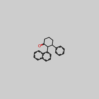 O=C1CCCC(c2ccccc2)C1c1cccc2ccccc12